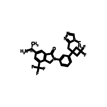 C[C@@H](N)c1cc2c(c(C(F)(F)F)c1)CN(c1cccc(C3(Cc4nncn4C)CC(F)(F)C3)c1)C2=O